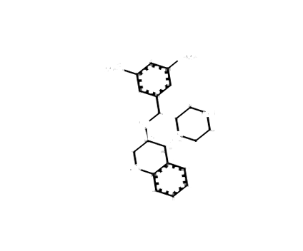 COc1cc(CO[C@@H]2COc3ccccc3[C@H]2N2CCNCC2)cc(OC)c1